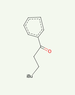 CCC(C)CCC(=O)c1ccccc1